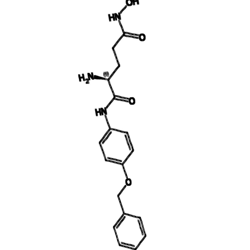 N[C@@H](CCC(=O)NO)C(=O)Nc1ccc(OCc2ccccc2)cc1